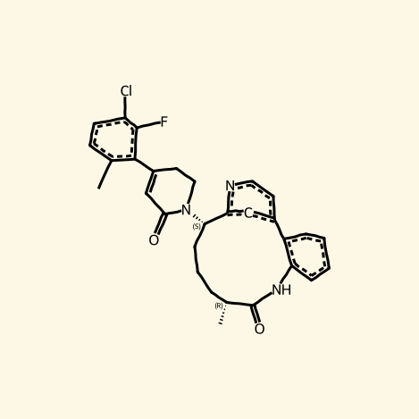 Cc1ccc(Cl)c(F)c1C1=CC(=O)N([C@H]2CCC[C@@H](C)C(=O)Nc3ccccc3-c3ccnc2c3)CC1